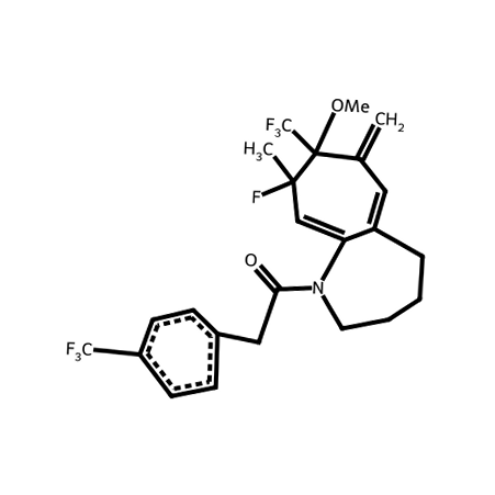 C=C1C=C2CCCCN(C(=O)Cc3ccc(C(F)(F)F)cc3)C2=CC(C)(F)C1(OC)C(F)(F)F